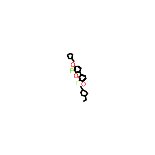 CCC1CCC(COc2ccc3c(oc4c(F)c(OCC5CCCC5)ccc43)c2F)CC1